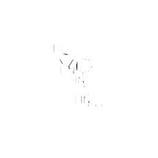 O=C(O)NCCCNC1CCCCc2c1[nH]c1ccc(Br)cc21